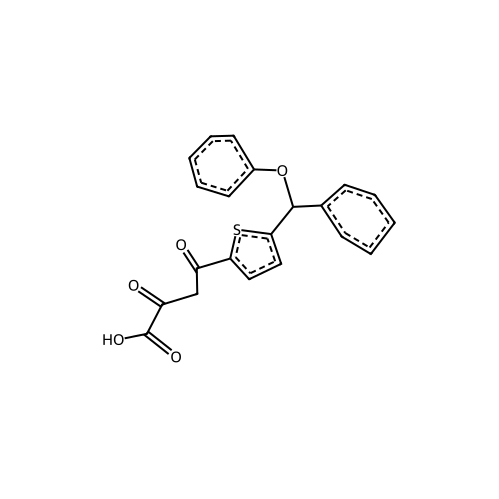 O=C(O)C(=O)CC(=O)c1ccc(C(Oc2ccccc2)c2ccccc2)s1